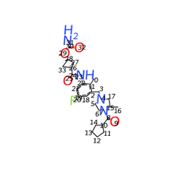 Cc1c(CN2CCN(C(=O)C3CCCC3)C(C)C2)cc(F)cc1NC(=O)C1CC(OC(N)=O)C1